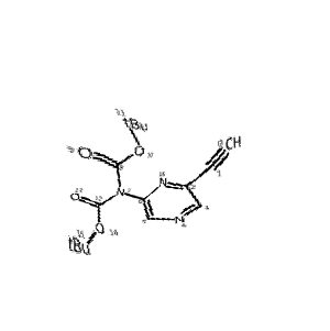 C#Cc1cncc(N(C(=O)OC(C)(C)C)C(=O)OC(C)(C)C)n1